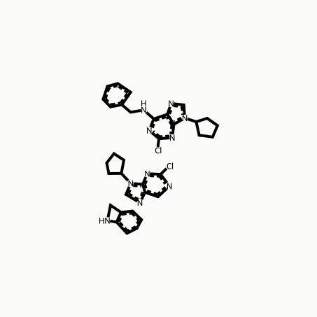 Clc1nc(NCc2ccccc2)c2ncn(C3CCCC3)c2n1.Clc1ncc2ncn(C3CCCC3)c2n1.c1ccc2c(c1)CN2